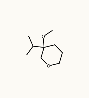 COC1(C(C)C)CCCOC1